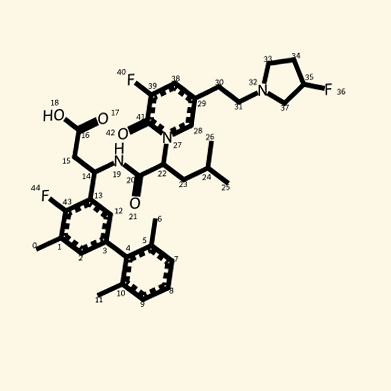 Cc1cc(-c2c(C)cccc2C)cc(C(CC(=O)O)NC(=O)C(CC(C)C)n2cc(CCN3CCC(F)C3)cc(F)c2=O)c1F